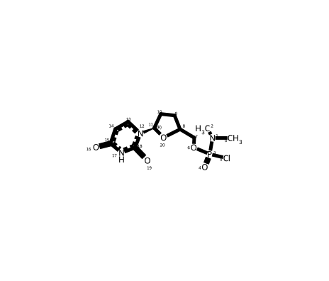 CN(C)P(=O)(Cl)OCC1CC[C@H](n2ccc(=O)[nH]c2=O)O1